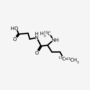 [13CH3][13CH2]CCC(N[13CH3])C(=O)NCCC(=O)O